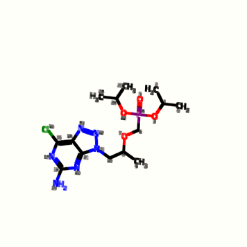 CC(C)OP(=O)(COC(C)Cn1nnc2c(Cl)nc(N)nc21)OC(C)C